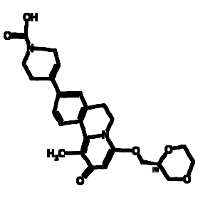 Cc1c2n(c(OC[C@@H]3COCCO3)cc1=O)CCc1cc(C3=CCN(C(=O)O)CC3)ccc1-2